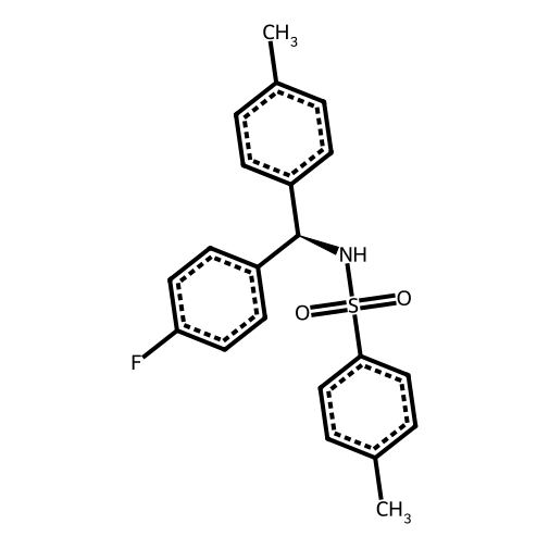 Cc1ccc([C@@H](NS(=O)(=O)c2ccc(C)cc2)c2ccc(F)cc2)cc1